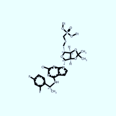 CCOP(=O)(CSC[C@H]1O[C@@H](n2ccc3c(N[C@H](C)c4ccc(F)cc4F)nc(Cl)nc32)[C@@H]2OC(C)(C)O[C@@H]21)OCC